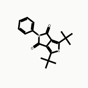 CC(C)(C)c1sc(C(C)(C)C)c2c1C(=O)N(c1ccccc1)C2=O